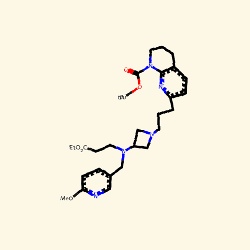 CCOC(=O)CCN(Cc1ccc(OC)nc1)C1CN(CCCc2ccc3c(n2)N(C(=O)OC(C)(C)C)CCC3)C1